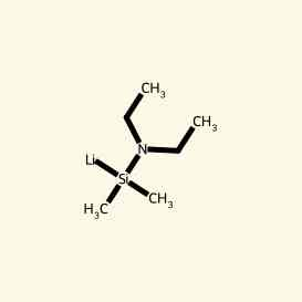 [Li][Si](C)(C)N(CC)CC